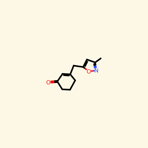 Cc1cc(CC2=CC(=O)CCC2)on1